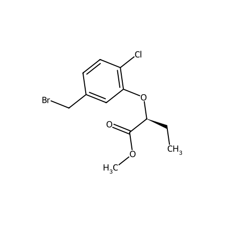 CC[C@H](Oc1cc(CBr)ccc1Cl)C(=O)OC